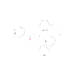 COc1cc(C(Cc2ccccc2)(NC(=O)c2ccc(F)c(C)c2)c2cc(F)cc(C(F)(F)F)c2)ccc1F